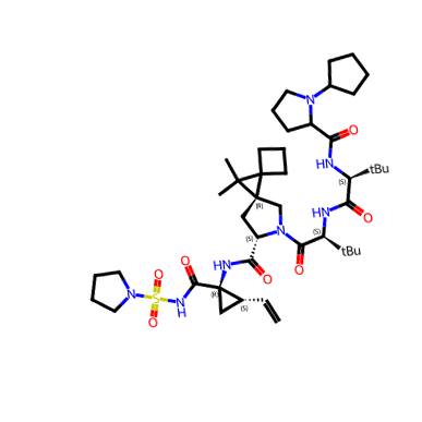 C=C[C@@H]1C[C@]1(NC(=O)[C@@H]1C[C@@]2(CN1C(=O)[C@@H](NC(=O)[C@@H](NC(=O)C1CCCN1C1CCCC1)C(C)(C)C)C(C)(C)C)C(C)(C)C21CCC1)C(=O)NS(=O)(=O)N1CCCC1